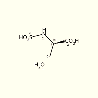 C[C@@H](NS(=O)(=O)O)C(=O)O.O